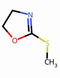 CSC1=NCCO1